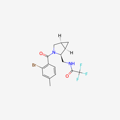 Cc1ccc(C(=O)N2C[C@H]3C[C@H]3[C@H]2CNC(=O)C(F)(F)F)c(Br)c1